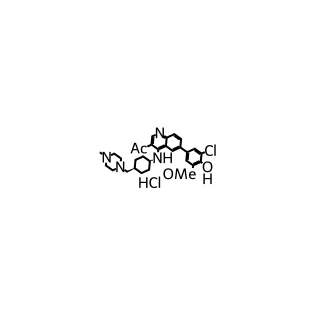 COc1cc(-c2ccc3ncc(C(C)=O)c(N[C@H]4CC[C@H](CN5CCN(C)CC5)CC4)c3c2)cc(Cl)c1O.Cl